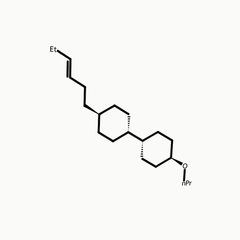 CC/C=C/CC[C@H]1CC[C@H]([C@H]2CC[C@H](OCCC)CC2)CC1